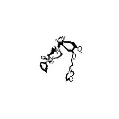 COc1cc2ncnc(N3CCN(S(=O)(=O)c4ccccc4)CC3)c2cc1OCCCN1CCOCC1